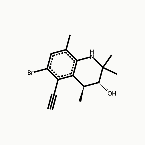 C#Cc1c(Br)cc(C)c2c1[C@H](C)[C@@H](O)C(C)(C)N2